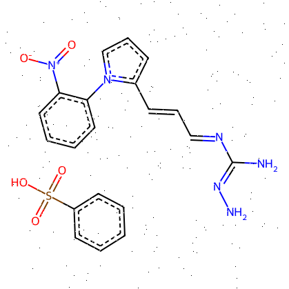 NN=C(N)N=CC=Cc1cccn1-c1ccccc1[N+](=O)[O-].O=S(=O)(O)c1ccccc1